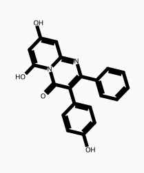 O=c1c(-c2ccc(O)cc2)c(-c2ccccc2)nc2cc(O)cc(O)n12